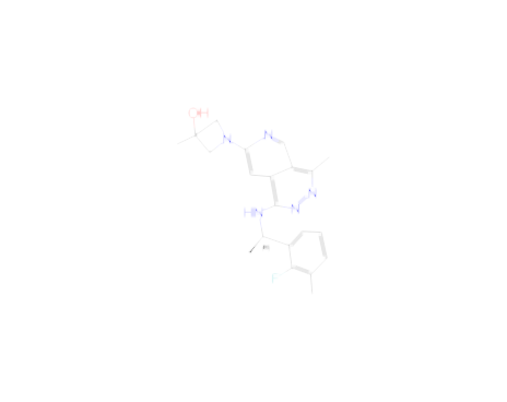 Cc1cccc([C@@H](C)Nc2nnc(C)c3cnc(N4CC(C)(O)C4)cc23)c1F